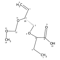 C=C[C@H](COC(CC)C(=O)O)OCOC